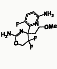 COCCC1(c2nc(N)ccc2F)N=C(N)OCC1(F)F